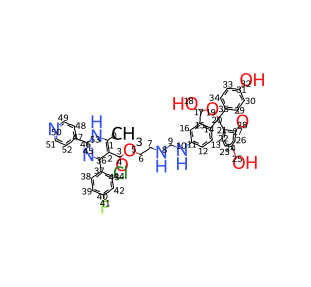 CC1=C(C(=O)OCCNCNc2ccc3c(c2)C(O)OC32c3ccc(O)cc3Oc3cc(O)ccc32)C(c2ccc(F)cc2Cl)N=C(c2ccncc2)N1